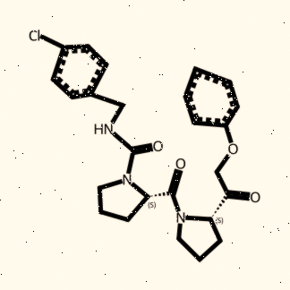 O=C(COc1ccccc1)[C@@H]1CCCN1C(=O)[C@@H]1CCCN1C(=O)NCc1ccc(Cl)cc1